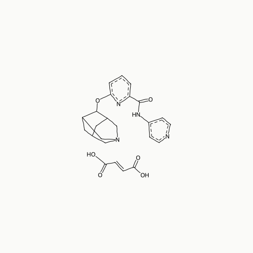 O=C(Nc1ccncc1)c1cccc(OC2C3CC4CC2CN(C4)C3)n1.O=C(O)/C=C/C(=O)O